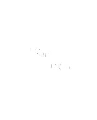 CC(C)(C)S(=O)(=O)NCCCCC(=O)NCc1ccc(F)cc1